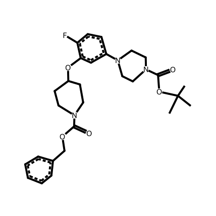 CC(C)(C)OC(=O)N1CCN(c2ccc(F)c(OC3CCN(C(=O)OCc4ccccc4)CC3)c2)CC1